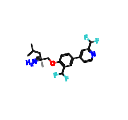 CC(C)C[C@](C)(N)COc1ccc(-c2ccnc(C(F)F)c2)cc1C(F)F